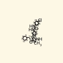 CN1C(=N)N[C@](CCC2CCCCC2)(C[C@H]2CCC[C@@H](NC(=O)Nc3ccc(Cl)cc3)C2)C1=O